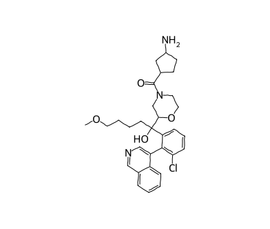 COCCCCC(O)(c1cccc(Cl)c1-c1cncc2ccccc12)C1CN(C(=O)C2CCC(N)C2)CCO1